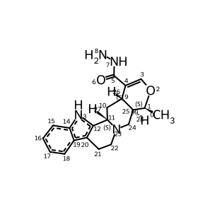 C[C@@H]1OC=C(C(=O)NN)[C@H]2C[C@H]3c4[nH]c5ccccc5c4CCN3C[C@H]12